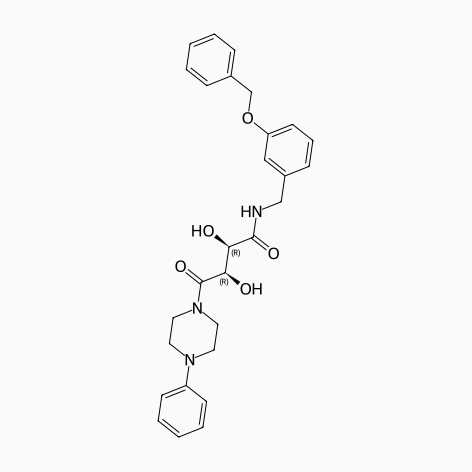 O=C(NCc1cccc(OCc2ccccc2)c1)[C@H](O)[C@@H](O)C(=O)N1CCN(c2ccccc2)CC1